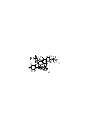 CC[Si](CC)(CC)O[C@H](C(=O)OC1CC(C)CCC1C(C)C)c1c(C)c2c(c(C)c1OS(=O)(=O)C(F)(F)F)CN(C(=O)C(F)(F)F)CC2